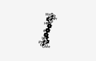 COC(=O)N[C@H](C(=O)N1CCC[C@H]1c1cc2cc(-c3ccc(-c4ccc5nc([C@@H]6CCCN6C(=O)[C@@H](NC(=O)OC)C(C)C)[nH]c5c4)cc3F)ccc2[nH]1)C(C)C